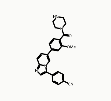 COc1cc(-c2ccc3ncc(-c4ccc(C#N)cc4)n3c2)ccc1C(=O)N1CCNCC1